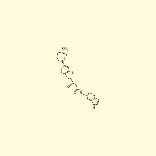 CN1CCCN(c2ccc(/C=C/C(=O)CC(=O)/C=C/c3ccc4cc[nH]c4c3)c(Br)c2)CC1